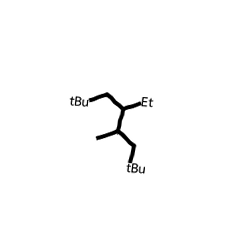 CCC(CC(C)(C)C)[C](C)CC(C)(C)C